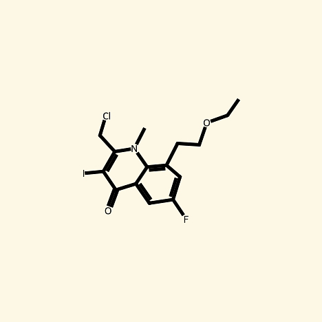 CCOCCc1cc(F)cc2c(=O)c(I)c(CCl)n(C)c12